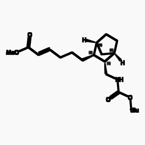 COC(=O)C=CCCC[C@H]1[C@H]2CC[C@H](C2)[C@@H]1CNC(=O)OC(C)(C)C